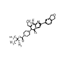 CCc1[nH]c2nc(-c3ccc4c(c3)COC4)cn2c(=O)c1N1CCN(C(=O)OC(C)(C)C)CC1